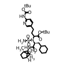 CC(C)(C)OC(=O)Nc1ccc(CCC(C(=O)OC(C)(C)C)N([C@@H](CC2CCCCC2)C(=O)N[C@H]2C[C@H]3CC[C@]2(C)C3(C)C)S(N)(=O)=O)cn1